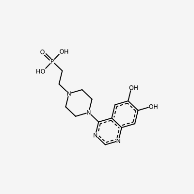 O=P(O)(O)CCN1CCN(c2ncnc3cc(O)c(O)cc23)CC1